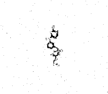 CCOC(=O)N=S(=O)(I)Cc1cccc(Nc2ncnc(Cl)n2)c1